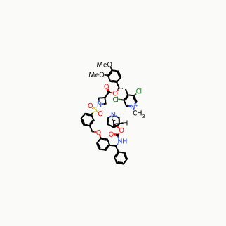 COc1ccc([C@H](Cc2c(Cl)c[n+](C)cc2Cl)OC(=O)C2CN(S(=O)(=O)c3cccc(COc4cccc([C@@H](NC(=O)O[C@H]5CN6CCC5CC6)c5ccccc5)c4)c3)C2)cc1OC